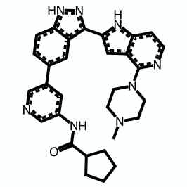 CN1CCN(c2nccc3[nH]c(-c4n[nH]c5ccc(-c6cncc(NC(=O)C7CCCC7)c6)cc45)cc23)CC1